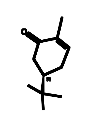 CC1=CC[C@@H](C(C)(C)C)CC1=O